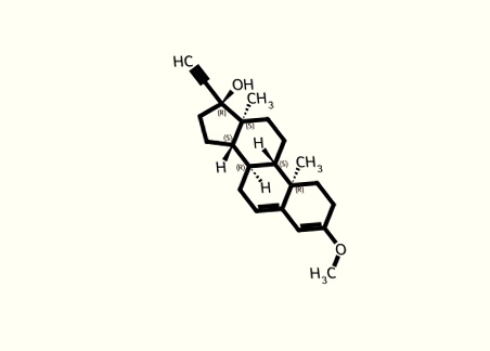 C#C[C@@]1(O)CC[C@H]2[C@@H]3CC=C4C=C(OC)CC[C@]4(C)[C@H]3CC[C@@]21C